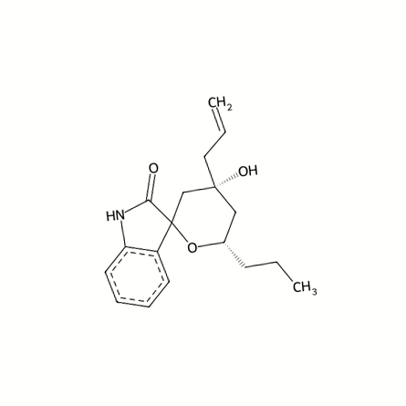 C=CC[C@@]1(O)C[C@H](CCC)OC2(C1)C(=O)Nc1ccccc12